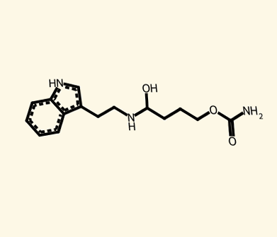 NC(=O)OCCCC(O)NCCc1c[nH]c2ccccc12